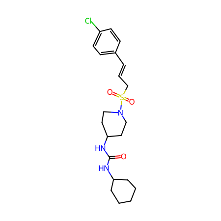 O=C(NC1CCCCC1)NC1CCN(S(=O)(=O)CC=Cc2ccc(Cl)cc2)CC1